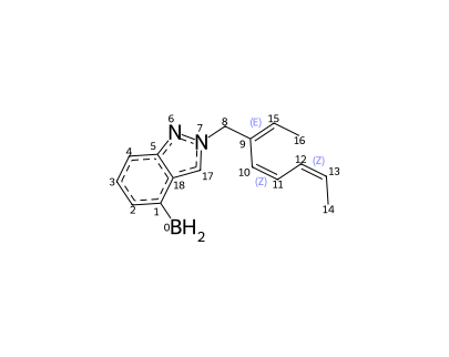 Bc1cccc2nn(CC(/C=C\C=C/C)=C/C)cc12